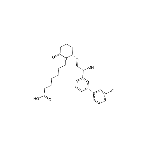 O=C(O)CCCCCCN1C(=O)CCC[C@@H]1/C=C/C(O)c1cccc(-c2cccc(Cl)c2)c1